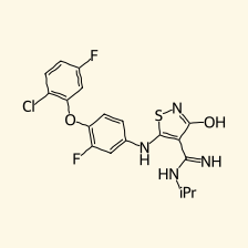 CC(C)NC(=N)c1c(O)nsc1Nc1ccc(Oc2cc(F)ccc2Cl)c(F)c1